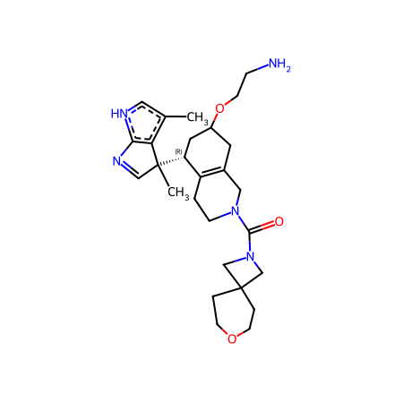 Cc1c[nH]c2c1C(C)([C@@H]1CC(OCCN)CC3=C1CCN(C(=O)N1CC4(CCOCC4)C1)C3)C=N2